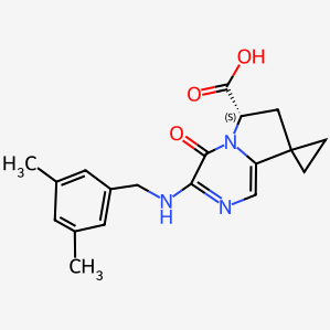 Cc1cc(C)cc(CNc2ncc3n(c2=O)[C@H](C(=O)O)CC32CC2)c1